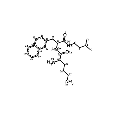 CC(C)CCNC(=O)[C@H](Cc1ccc2ccccc2c1)NC(=O)[C@H](N)CCCN